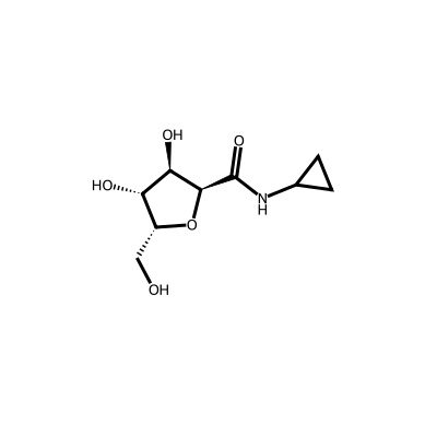 O=C(NC1CC1)[C@H]1O[C@H](CO)[C@H](O)[C@H]1O